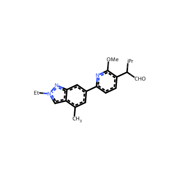 CCn1cc2c(C)cc(-c3ccc(C(C=O)C(C)C)c(OC)n3)cc2n1